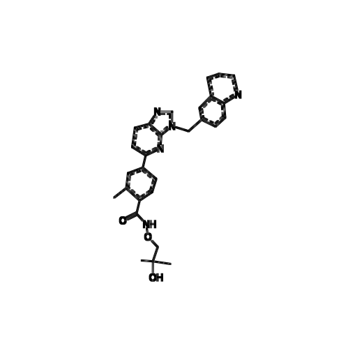 Cc1cc(-c2ccc3ncn(Cc4ccc5ncccc5c4)c3n2)ccc1C(=O)NOCC(C)(C)O